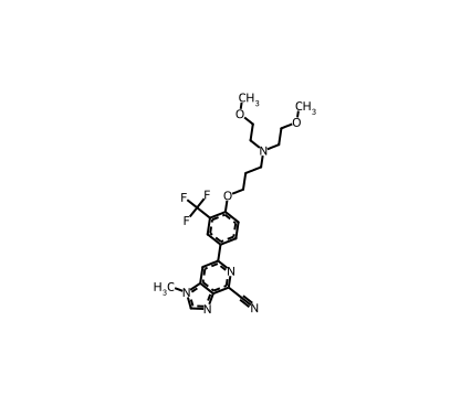 COCCN(CCCOc1ccc(-c2cc3c(ncn3C)c(C#N)n2)cc1C(F)(F)F)CCOC